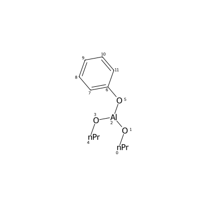 CCC[O][Al]([O]CCC)[O]c1ccccc1